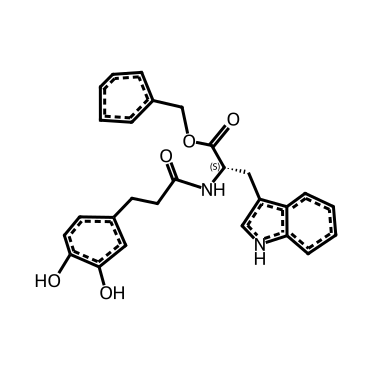 O=C(CCc1ccc(O)c(O)c1)N[C@@H](Cc1c[nH]c2ccccc12)C(=O)OCc1ccccc1